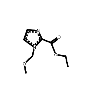 CCOC(=O)c1nccn1COC